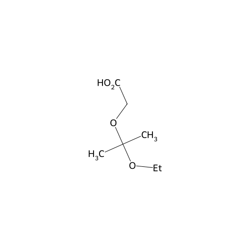 CCOC(C)(C)OCC(=O)O